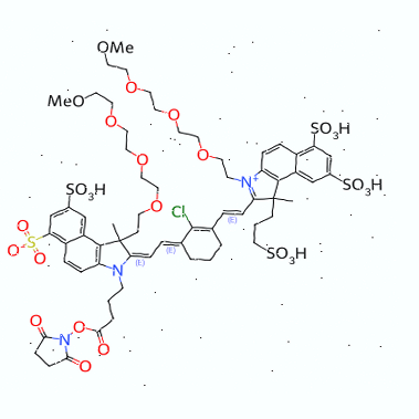 COCCOCCOCCOCC[N+]1=C(/C=C/C2=C(Cl)C(=C/C=C3/N(CCCC(=O)ON4C(=O)CCC4=O)c4ccc5c(S(=O)(=O)[O-])cc(S(=O)(=O)O)cc5c4C3(C)CCOCCOCCOCCOC)/CCC2)C(C)(CCCS(=O)(=O)O)c2c1ccc1c(S(=O)(=O)O)cc(S(=O)(=O)O)cc21